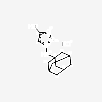 Cl.[NH-]c1c[n+](NC23CC4CC(CC(C4)C2)C3)no1